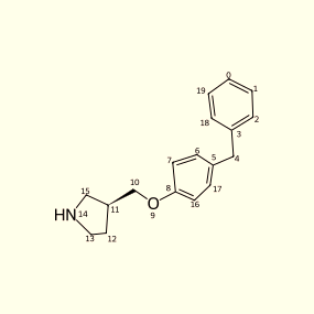 c1ccc(Cc2ccc(OC[C@H]3CCNC3)cc2)cc1